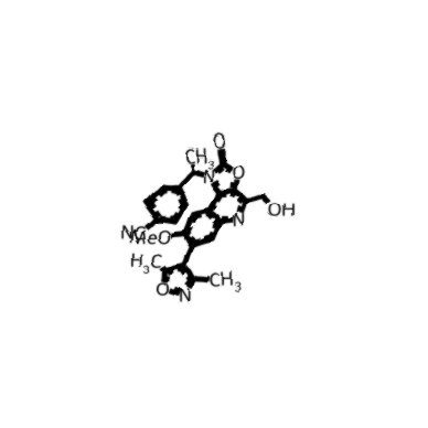 COc1cc2c(cc1-c1c(C)noc1C)nc(CO)c1oc(=O)n([C@H](C)c3ccc(C#N)cc3)c12